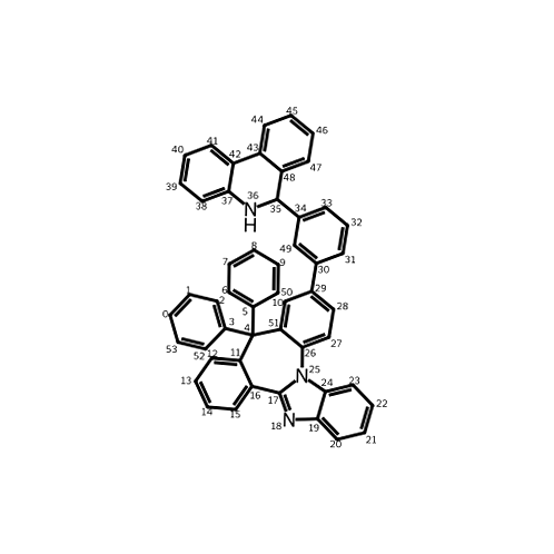 c1ccc(C2(c3ccccc3)c3ccccc3-c3nc4ccccc4n3-c3ccc(-c4cccc(C5Nc6ccccc6-c6ccccc65)c4)cc32)cc1